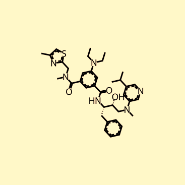 CCN(CC)c1cc(C(=O)N[C@@H](Cc2ccccc2)[C@H](O)CN(C)c2cncc(C(C)C)c2)cc(C(=O)N(C)Cc2nc(C)cs2)c1